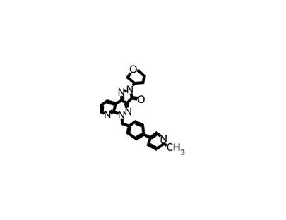 Cc1ccc(-c2ccc(Cn3nc4c(=O)n(C5CCCOC5)nc-4c4cccnc43)cc2)cn1